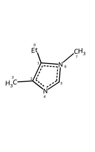 CCc1c(C)ncn1C